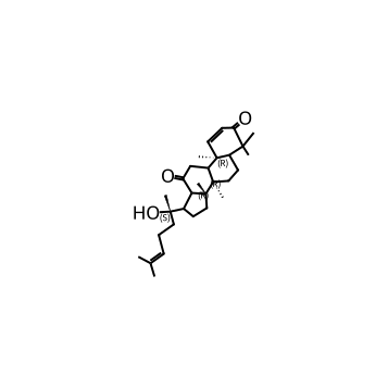 CC(C)=CCC[C@](C)(O)C1CC[C@]2(C)C1C(=O)CC1[C@@]3(C)C=CC(=O)C(C)(C)C3CC[C@]12C